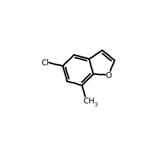 Cc1cc(Cl)cc2ccoc12